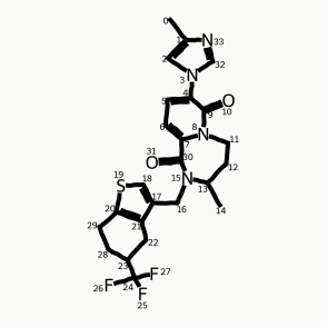 Cc1cn(-c2ccc3n(c2=O)CCC(C)N(Cc2csc4c2CC(C(F)(F)F)CC4)C3=O)cn1